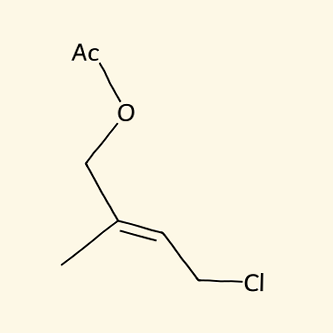 CC(=O)OCC(C)=CCCl